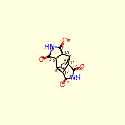 O=C1NC(=O)C2C3CCC(C12)C1C(=O)NC(=O)C31